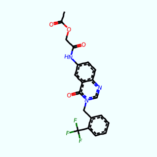 CC(=O)OCC(=O)Nc1ccc2ncn(Cc3ccccc3C(F)(F)F)c(=O)c2c1